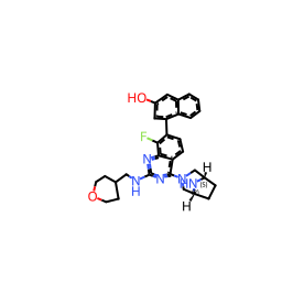 Oc1cc(-c2ccc3c(N4C[C@H]5CC[C@@H](C4)N5)nc(NCC4CCOCC4)nc3c2F)c2ccccc2c1